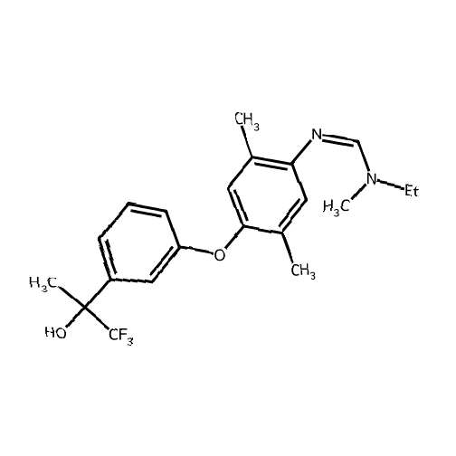 CCN(C)/C=N\c1cc(C)c(Oc2cccc(C(C)(O)C(F)(F)F)c2)cc1C